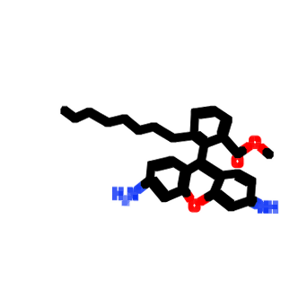 CCCCCCCCc1cccc(C(=O)OC)c1-c1c2ccc(=N)cc-2oc2cc(N)ccc12